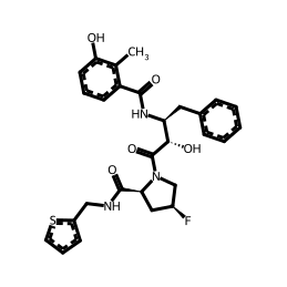 Cc1c(O)cccc1C(=O)N[C@@H](Cc1ccccc1)[C@H](O)C(=O)N1C[C@@H](F)C[C@H]1C(=O)NCc1cccs1